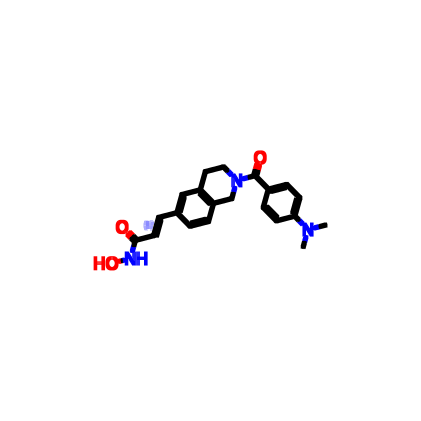 CN(C)c1ccc(C(=O)N2CCc3cc(/C=C/C(=O)NO)ccc3C2)cc1